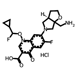 Cl.NCC12CN(c3cc4c(cc3F)c(=O)c(C(=O)O)cn4OC(F)C3CC3)C[C@H]1CCO2